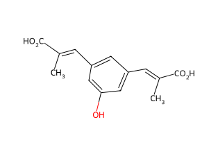 C/C(=C\c1cc(O)cc(/C=C(\C)C(=O)O)c1)C(=O)O